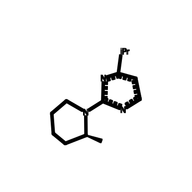 CC(C)c1ccnc(N2CCCC[C@@H]2C)n1